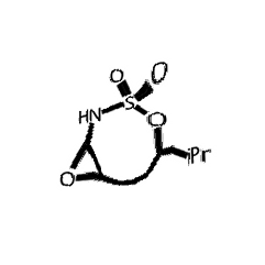 CC(C)C1CC2OC2NS(=O)(=O)O1